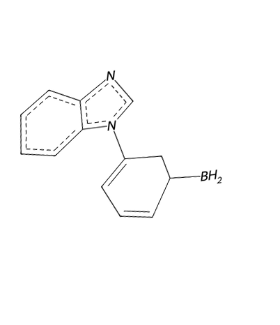 BC1C=CC=C(n2cnc3ccccc32)C1